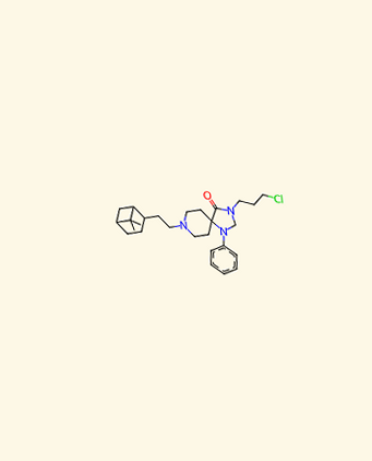 CC1(C)C2CCC(CCN3CCC4(CC3)C(=O)N(CCCCl)CN4c3ccccc3)C1C2